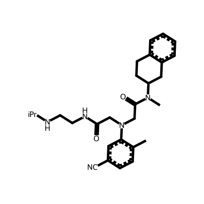 Cc1ccc(C#N)cc1N(CC(=O)NCCNC(C)C)CC(=O)N(C)C1CCc2ccccc2C1